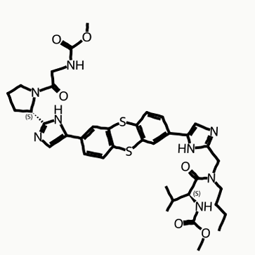 CCCCN(Cc1ncc(-c2ccc3c(c2)Sc2ccc(-c4cnc([C@@H]5CCCN5C(=O)CNC(=O)OC)[nH]4)cc2S3)[nH]1)C(=O)[C@@H](NC(=O)OC)C(C)C